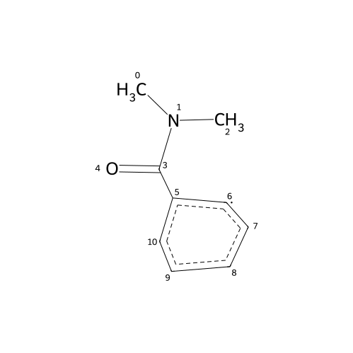 CN(C)C(=O)c1[c]cccc1